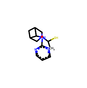 CC(S)N1CC2CC(C1)C2Nc1ncccn1